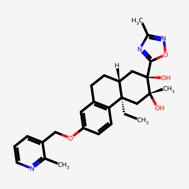 CC[C@@]12C[C@@](C)(O)[C@@](O)(c3nc(C)no3)C[C@H]1CCc1cc(OCc3cccnc3C)ccc12